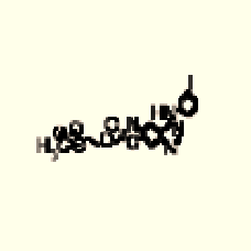 CS(=O)(=O)OCCOCCOc1cc2ncnc(Nc3cccc(I)c3)c2cc1[N+](=O)[O-]